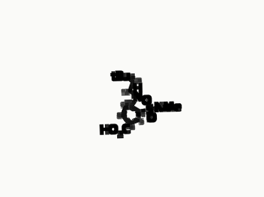 CNS(=O)(=O)c1cc(C(=O)O)ccc1NCCC(C)(C)C